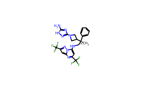 C[C@](CNc1cc(C(F)(F)F)nc2cc(C(F)(F)F)nn12)(c1ccccc1)C1CN(c2n[nH]c(N)n2)C1